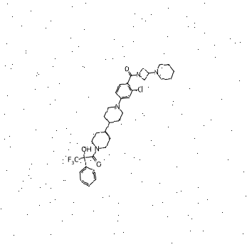 O=C(c1ccc(N2CCC(C3CCN(C(=O)C(O)(c4ccccc4)C(F)(F)F)CC3)CC2)cc1Cl)N1CC(N2CCCCC2)C1